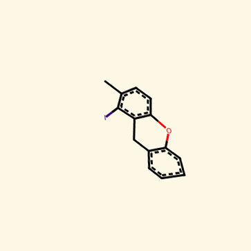 Cc1ccc2c(c1I)Cc1ccccc1O2